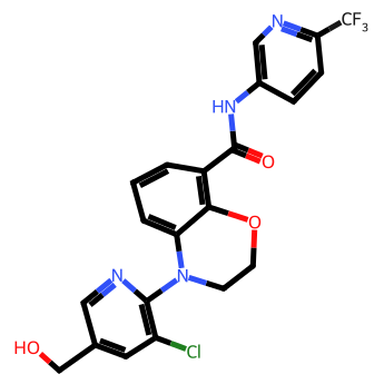 O=C(Nc1ccc(C(F)(F)F)nc1)c1cccc2c1OCCN2c1ncc(CO)cc1Cl